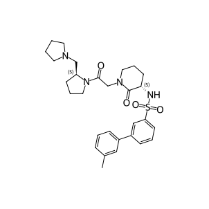 Cc1cccc(-c2cccc(S(=O)(=O)N[C@H]3CCCN(CC(=O)N4CCC[C@H]4CN4CCCC4)C3=O)c2)c1